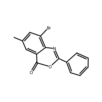 Cc1cc(Br)c2nc(-c3ccccc3)oc(=O)c2c1